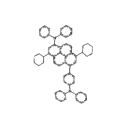 c1ccc(N(c2ccccc2)c2ccc(-c3cc(C4CCCCC4)c4ccc5c(N(c6ccccc6)c6ccccc6)cc(C6CCCCC6)c6ccc3c4c65)cc2)cc1